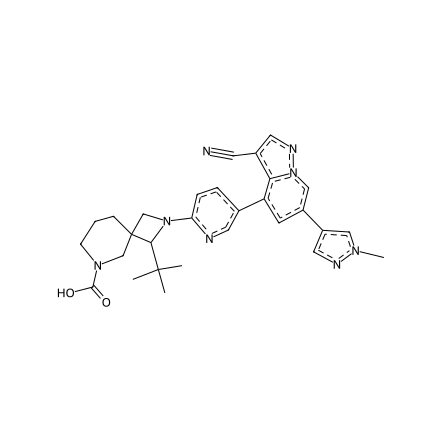 Cn1cc(-c2cc(-c3ccc(N4CC5(CCCN(C(=O)O)C5)C4C(C)(C)C)nc3)c3c(C#N)cnn3c2)cn1